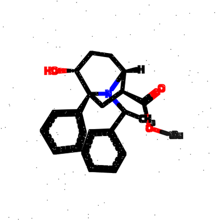 CC(c1ccccc1)N1[C@@H]2CC[C@H](O)[C@@]1(c1ccccc1)C[C@@H]2C(=O)OC(C)(C)C